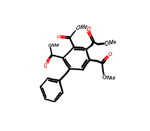 COC(=O)c1cc(-c2ccccc2)c(C(=O)OC)c(C(=O)OC)c1C(=O)OC